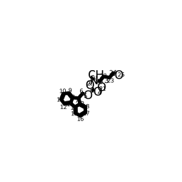 CN(OC(=O)OCC1c2ccccc2-c2ccccc21)C(=O)CCC=O